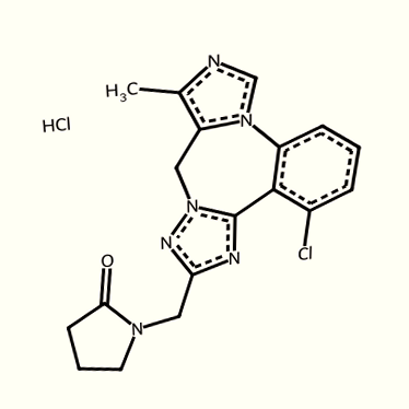 Cc1ncn2c1Cn1nc(CN3CCCC3=O)nc1-c1c(Cl)cccc1-2.Cl